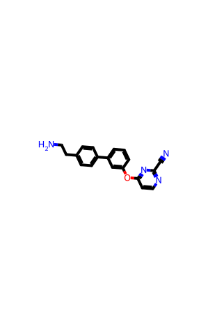 N#Cc1nccc(Oc2cccc(-c3ccc(CCN)cc3)c2)n1